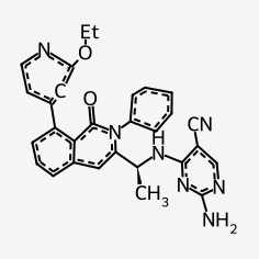 CCOc1cc(-c2cccc3cc([C@H](C)Nc4nc(N)ncc4C#N)n(-c4ccccc4)c(=O)c23)ccn1